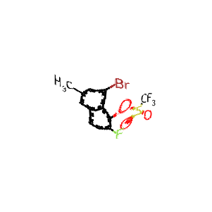 Cc1cc(Br)c2c(OS(=O)(=O)C(F)(F)F)c(F)ccc2c1